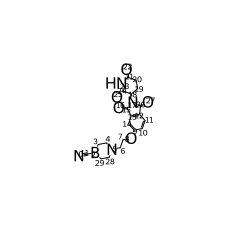 N#CB1CCN(CCOc2ccc3c(c2)C(=O)N(C2CCC(=O)NC2=O)C3=O)CC1